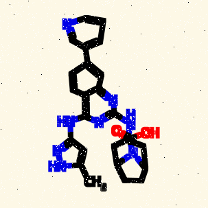 Cc1cc(Nc2nc(NC3CC4CCC(C3)N4C(=O)O)nc3cc(-c4cccnc4)ccc23)n[nH]1